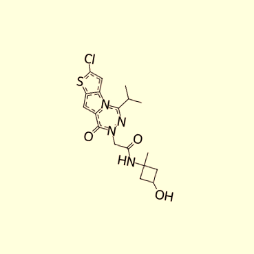 CC(C)c1nn(CC(=O)NC2(C)CC(O)C2)c(=O)c2cc3sc(Cl)cc3n12